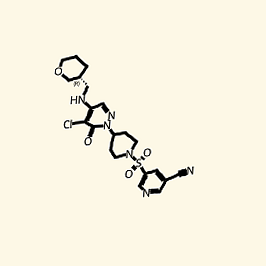 N#Cc1cncc(S(=O)(=O)N2CCC(n3ncc(NC[C@H]4CCCOC4)c(Cl)c3=O)CC2)c1